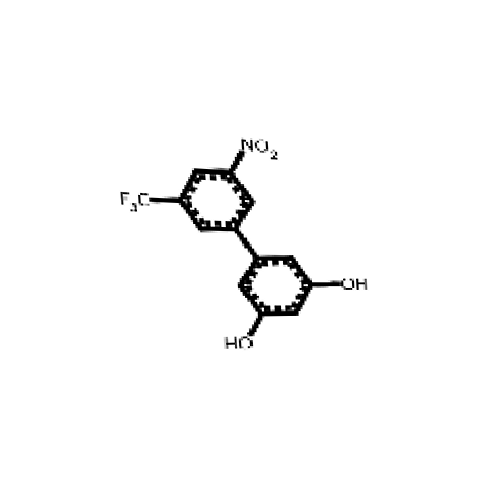 O=[N+]([O-])c1cc(-c2cc(O)cc(O)c2)cc(C(F)(F)F)c1